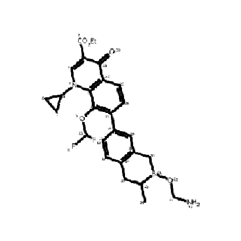 CCOC(=O)c1cn(C2CC2)c2c(OC(F)F)c(-c3ccc4c(c3)CB(OCN)C(C)C4)ccc2c1=O